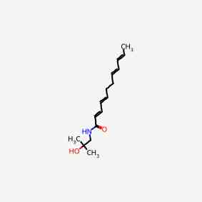 CC=CC=CCCC=CC=CC(=O)NCC(C)(C)O